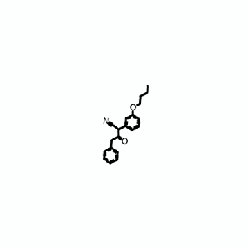 CCCCOc1cccc(C(C#N)C(=O)Cc2ccccc2)c1